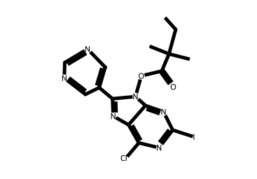 CCC(C)(C)C(=O)On1c(-c2cncnc2)nc2c(Cl)nc(I)nc21